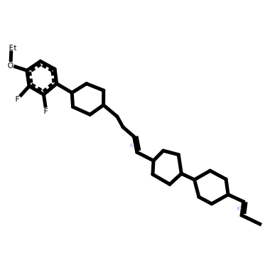 C/C=C/C1CCC(C2CCC(/C=C/CCC3CCC(c4ccc(OCC)c(F)c4F)CC3)CC2)CC1